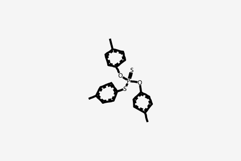 Cc1ccc(OP(=S)(Oc2ccc(C)cc2)Sc2ccc(C)cc2)cc1